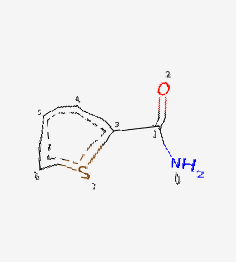 NC(=O)c1cc[c]s1